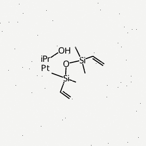 C=C[Si](C)(C)O[Si](C)(C)C=C.CC(C)O.[Pt]